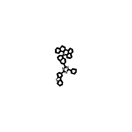 c1ccc(-c2nc(-c3ccc4c(N5c6c(ccc7ccccc67)-c6cccc7cccc5c67)cccc4c3)nc(-c3ccc4sc5ccccc5c4c3)n2)cc1